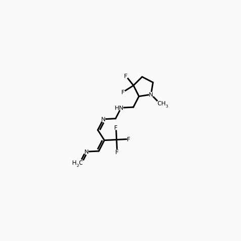 C=N/C=C(\C=N/CNCC1N(C)CCC1(F)F)C(F)(F)F